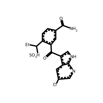 CCC(c1ccc(C(N)=O)cc1C(=O)c1c[nH]c2ncc(Cl)cc12)S(=O)(=O)O